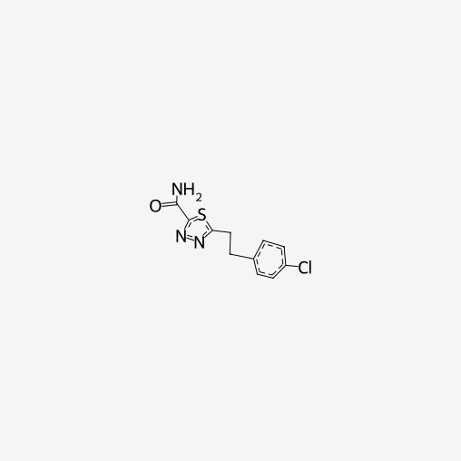 NC(=O)c1nnc(CCc2ccc(Cl)cc2)s1